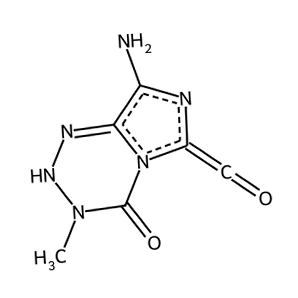 CN1NN=c2c(N)nc(=C=O)n2C1=O